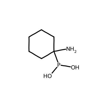 NC1(P(O)O)CCCCC1